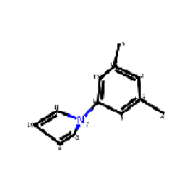 Cc1cc(C)cc(-n2c[c]cc2)c1